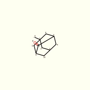 [CH2]C12CC3CC(C1)C(=O)C(C3)C2